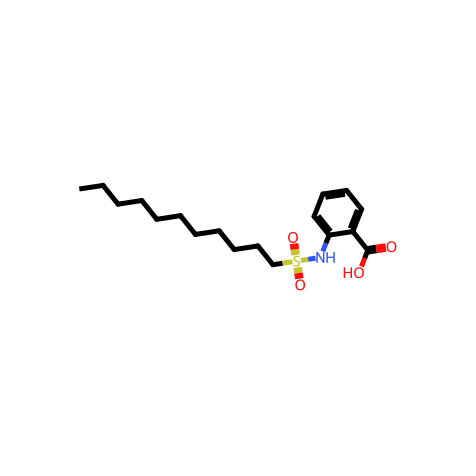 CCCCCCCCCCCS(=O)(=O)Nc1ccccc1C(=O)O